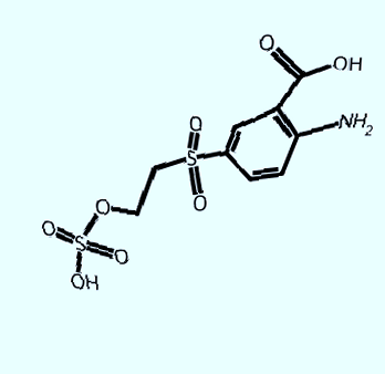 Nc1ccc(S(=O)(=O)CCOS(=O)(=O)O)cc1C(=O)O